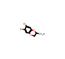 O=C(O)C1COc2cc(Br)c(Br)cc2O1